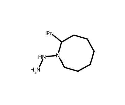 CC(C)C1CCCCCCN1NN